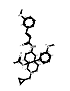 COc1cccc(/C=C/C(=O)NC2CCC3(OC(C)=O)CN(CC4CC4)CCC3(c3cccc(OC)c3)C2)c1